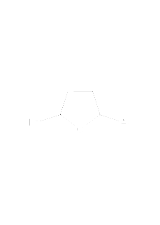 CC(=O)C1CCC(C(C)C)O1